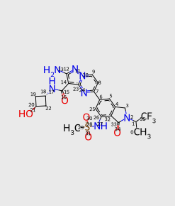 CC(N1Cc2cc(-c3ccn4nc(N)c(C(=O)N[C@H]5C[C@H](O)C5)c4n3)cc(NS(C)(=O)=O)c2C1=O)C(F)(F)F